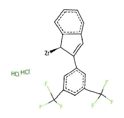 Cl.Cl.FC(F)(F)c1cc(C2=Cc3ccccc3[C@@H]2[Zr])cc(C(F)(F)F)c1